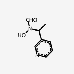 CC(c1cccnc1)N(O)C=O